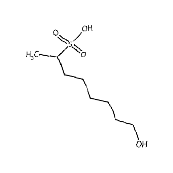 CC(CCCCCCO)S(=O)(=O)O